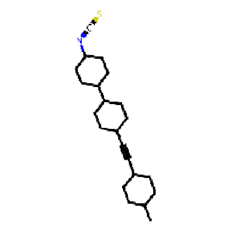 CC1CCC(C#CC2CCC(C3CCC(N=C=S)CC3)CC2)CC1